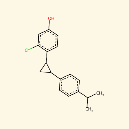 CC(C)c1ccc(C2CC2c2ccc(O)cc2Cl)cc1